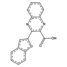 O=C(O)c1nc2ccccc2nc1-c1cc2ccccc2o1